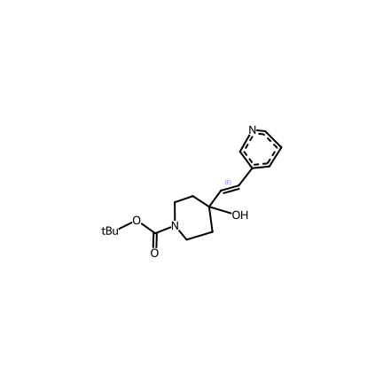 CC(C)(C)OC(=O)N1CCC(O)(/C=C/c2cccnc2)CC1